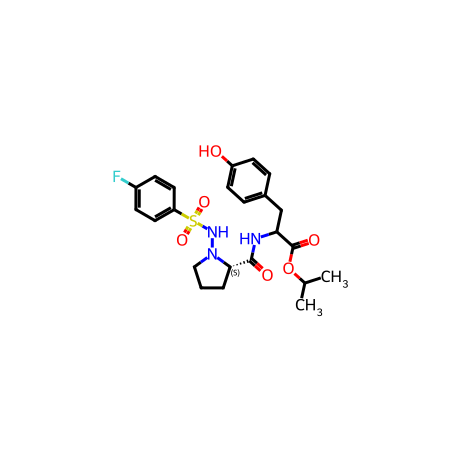 CC(C)OC(=O)C(Cc1ccc(O)cc1)NC(=O)[C@@H]1CCCN1NS(=O)(=O)c1ccc(F)cc1